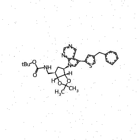 CC(C)(C)OC(=O)NC[C@H]1C[C@@H](n2cc(-c3cc(Cc4ccccc4)cs3)c3cncnc32)[C@@H]2OC(C)(C)O[C@H]12